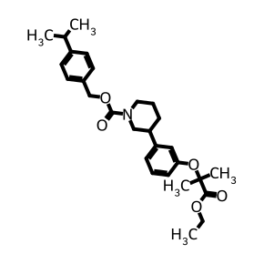 CCOC(=O)C(C)(C)Oc1cccc(C2CCCN(C(=O)OCc3ccc(C(C)C)cc3)C2)c1